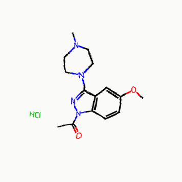 COc1ccc2c(c1)c(N1CCN(C)CC1)nn2C(C)=O.Cl